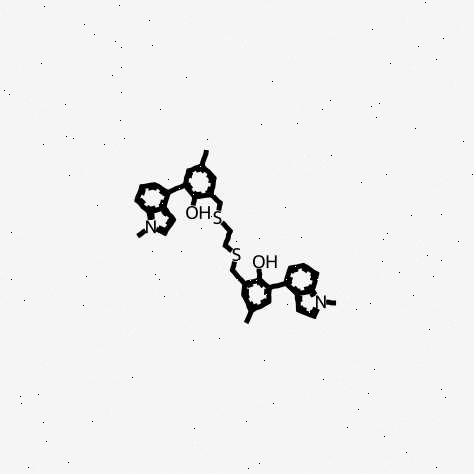 Cc1cc(CSCCSCc2cc(C)cc(-c3cccc4c3ccn4C)c2O)c(O)c(-c2cccc3c2ccn3C)c1